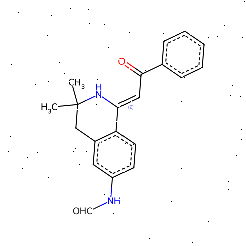 CC1(C)Cc2cc(NC=O)ccc2/C(=C/C(=O)c2ccccc2)N1